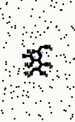 B/C=C(\B)C(B)C(/C=C(\B)CB)/C(B)=C/Br